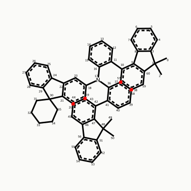 CC1(C)c2ccccc2-c2c(-c3ccccc3N(c3ccc4c(c3)-c3ccccc3C43CCCCC3)c3ccccc3-c3cccc4c3C(C)(C)c3ccccc3-4)cccc21